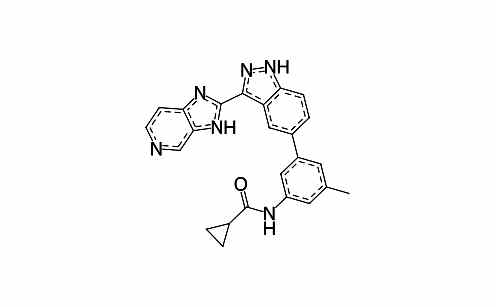 Cc1cc(NC(=O)C2CC2)cc(-c2ccc3[nH]nc(-c4nc5ccncc5[nH]4)c3c2)c1